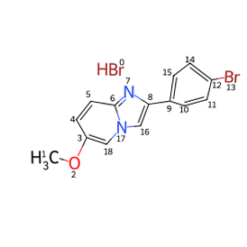 Br.COc1ccc2nc(-c3ccc(Br)cc3)cn2c1